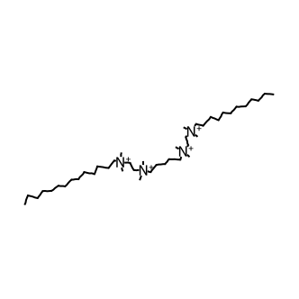 CCCCCCCCCCCCCC[N+](C)(C)CC[N+](C)(C)CCCCC[N+](C)(C)CC[N+](C)(C)CCCCCCCCCCCC